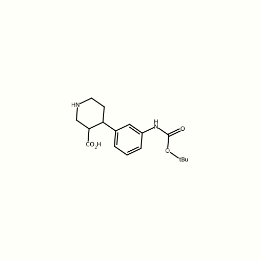 CC(C)(C)OC(=O)Nc1cccc(C2CCNCC2C(=O)O)c1